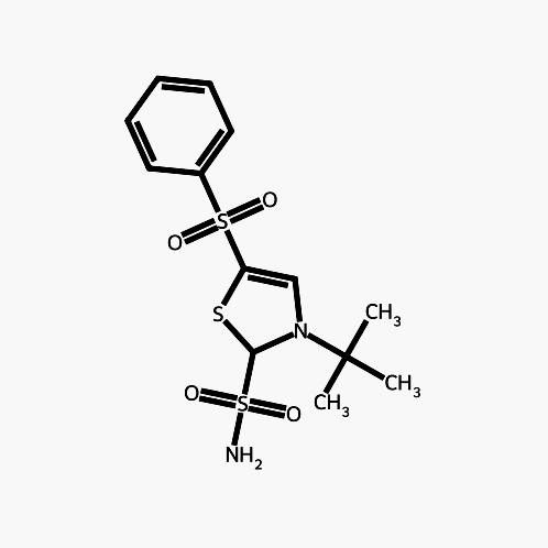 CC(C)(C)N1C=C(S(=O)(=O)c2ccccc2)SC1S(N)(=O)=O